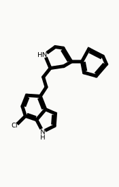 Clc1ccc(CCC2CC(c3ccccc3)=CCN2)c2cc[nH]c12